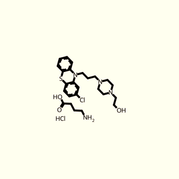 Cl.NCCCC(=O)O.OCCN1CCN(CCCN2c3ccccc3Sc3ccc(Cl)cc32)CC1